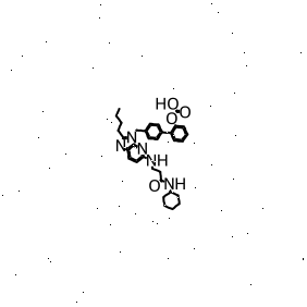 CCCCc1nc2ccc(NCCC(=O)NC3CCCCC3)nc2n1Cc1ccc(-c2ccccc2OC(=O)O)cc1